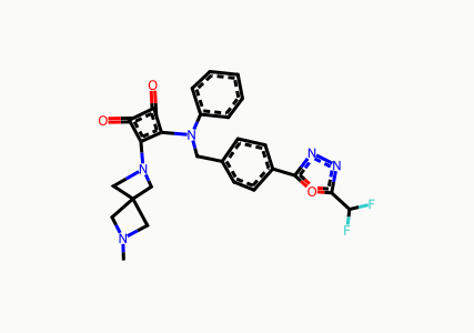 CN1CC2(C1)CN(c1c(N(Cc3ccc(-c4nnc(C(F)F)o4)cc3)c3ccccc3)c(=O)c1=O)C2